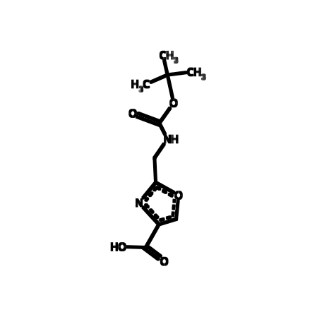 CC(C)(C)OC(=O)NCc1nc(C(=O)O)co1